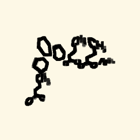 C1CCCCC1.C1CCCCC1.C1CCCCC1.CCCC(=O)[O-].CCCC(=O)[O-].CCCC(=O)[O-].[Fe+3]